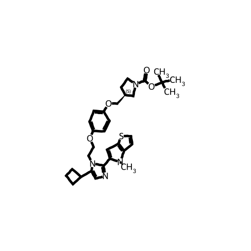 Cn1c(-c2ncc(C3CCC3)n2CCOc2ccc(OC[C@H]3CCN(C(=O)OC(C)(C)C)C3)cc2)cc2sccc21